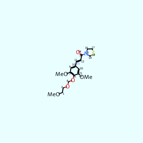 COCCOCOc1c(OC)cc(/C=C/C(=O)N2CCSC2)cc1OC